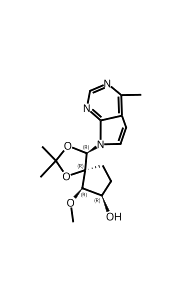 CO[C@@H]1[C@H](O)CC[C@@]12OC(C)(C)O[C@H]2n1ccc2c(C)ncnc21